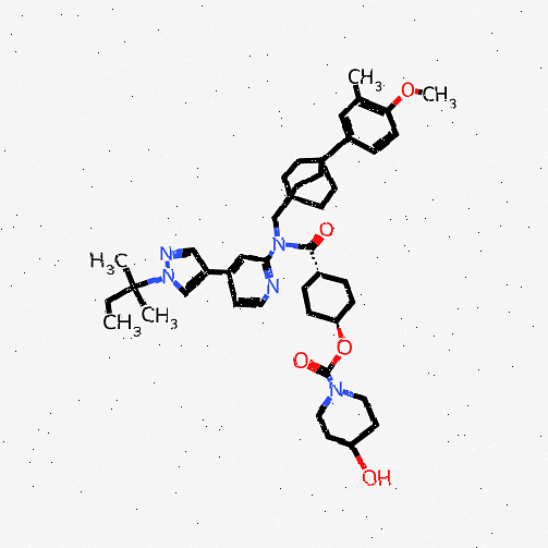 CCC(C)(C)n1cc(-c2ccnc(N(CC34CCC(c5ccc(OC)c(C)c5)(CC3)CC4)C(=O)[C@H]3CC[C@H](OC(=O)N4CCC(O)CC4)CC3)c2)cn1